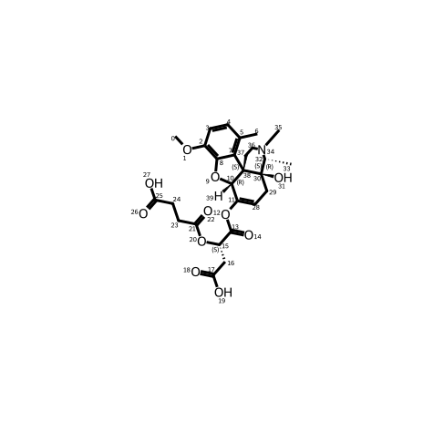 COc1ccc(C)c2c1O[C@H]1C(OC(=O)[C@H](CC(=O)O)OC(=O)CCC(=O)O)=CC[C@@]3(O)[C@@H](C)N(C)CC[C@]213